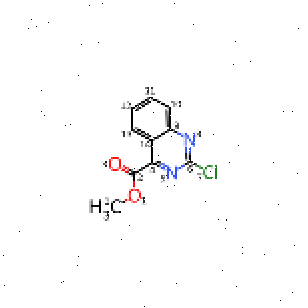 COC(=O)c1nc(Cl)nc2ccccc12